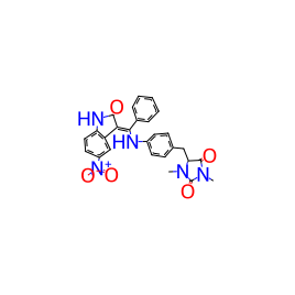 CN1C(=O)C(Cc2ccc(NC(=C3C(=O)Nc4ccc([N+](=O)[O-])cc43)c3ccccc3)cc2)N(C)C1=O